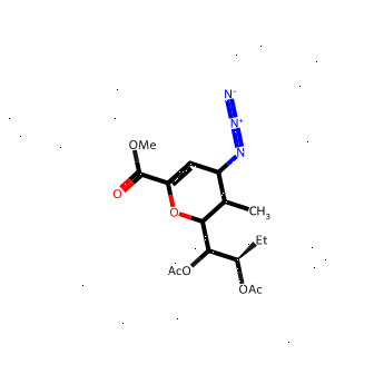 CC[C@@H](OC(C)=O)C(OC(C)=O)C1OC(C(=O)OC)=CC(N=[N+]=[N-])C1C